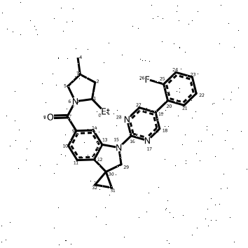 CCC1CC(C)CN1C(=O)c1ccc2c(c1)N(c1ncc(-c3ccccc3F)cn1)CC21CC1